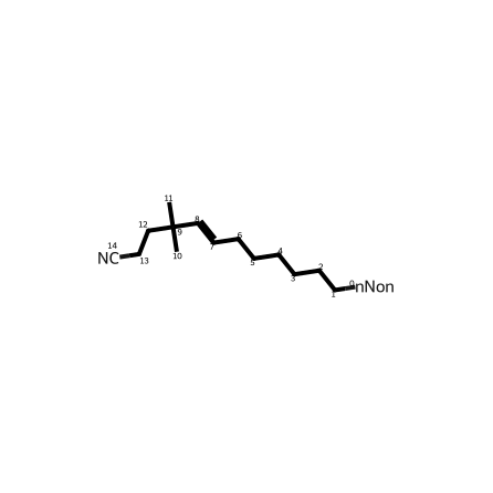 CCCCCCCCCCCCCCC/C=C/C(C)(C)CCC#N